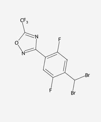 Fc1cc(C(Br)Br)c(F)cc1-c1noc(C(F)(F)F)n1